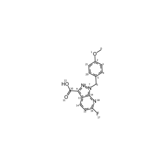 COc1ccc(Cn2nc(C(=O)O)c3ccc(F)nc32)cc1